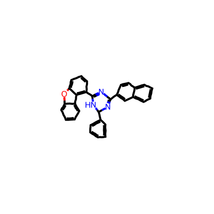 c1ccc(C2N=C(c3ccc4ccccc4c3)N=C(c3cccc4oc5ccccc5c34)N2)cc1